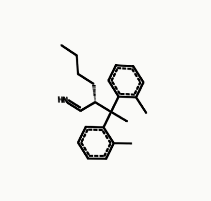 CCCC[C@@H](C=N)C(C)(c1ccccc1C)c1ccccc1C